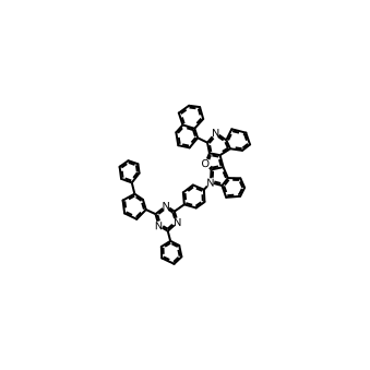 c1ccc(-c2cccc(-c3nc(-c4ccccc4)nc(-c4ccc(-n5c6ccccc6c6c7c(oc65)c(-c5cccc6ccccc56)nc5ccccc57)cc4)n3)c2)cc1